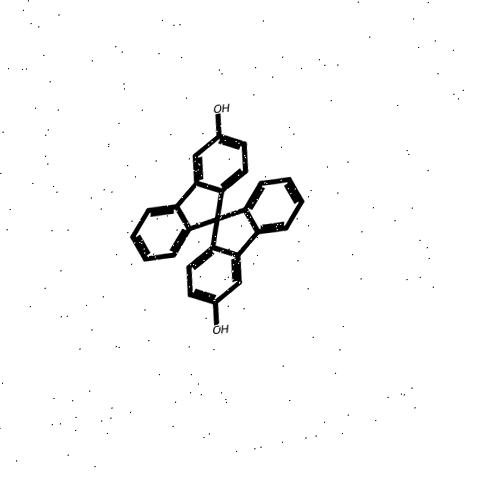 Oc1ccc2c(c1)-c1ccccc1C21c2ccccc2-c2cc(O)ccc21